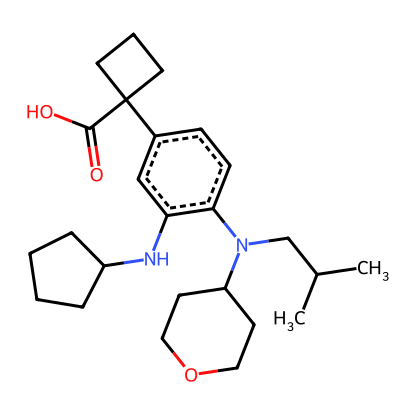 CC(C)CN(c1ccc(C2(C(=O)O)CCC2)cc1NC1CCCC1)C1CCOCC1